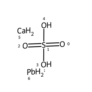 O=S(=O)(O)O.[CaH2].[PbH2]